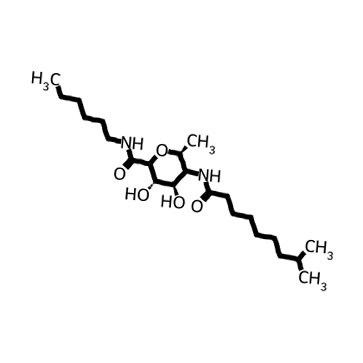 CCCCCCNC(=O)C1O[C@@H](C)C(NC(=O)CCCCCCC(C)C)[C@@H](O)[C@@H]1O